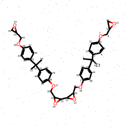 CCC(C)(c1ccc(OCC2CO2)cc1)c1ccc(OCC2OC2C2OC2COc2ccc(C(C)(C)c3ccc(OCC4CO4)cc3)cc2)cc1